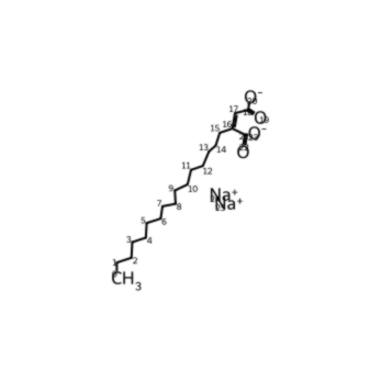 CCCCCCCCCCCCCCCCC(=CC(=O)[O-])C(=O)[O-].[Na+].[Na+]